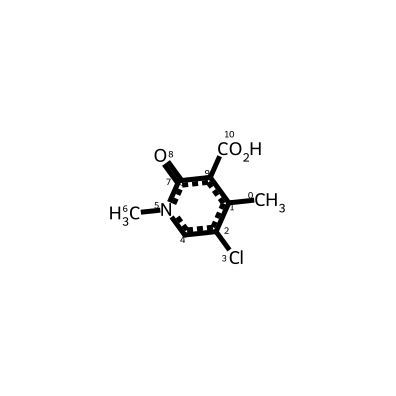 Cc1c(Cl)cn(C)c(=O)c1C(=O)O